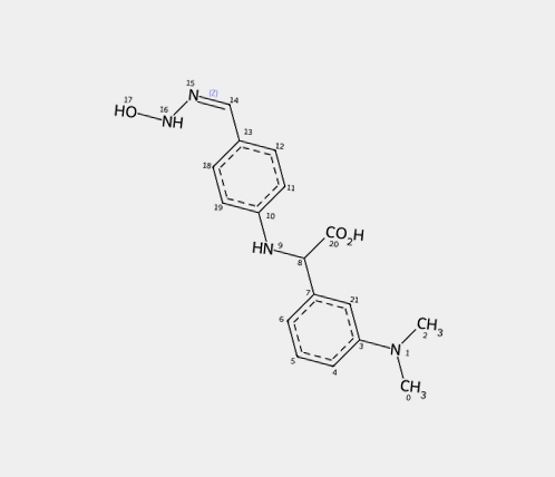 CN(C)c1cccc(C(Nc2ccc(/C=N\NO)cc2)C(=O)O)c1